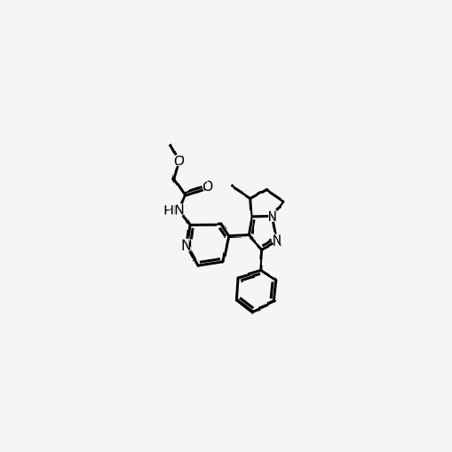 COCC(=O)Nc1cc(-c2c(-c3ccccc3)nn3c2C(C)CC3)ccn1